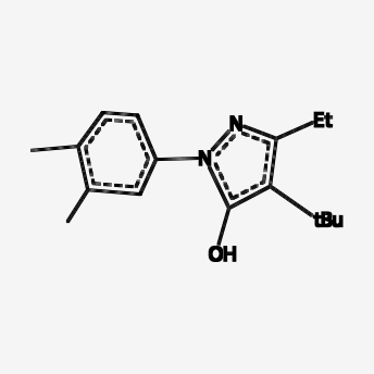 CCc1nn(-c2ccc(C)c(C)c2)c(O)c1C(C)(C)C